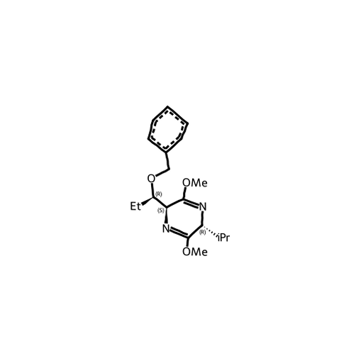 CC[C@@H](OCc1ccccc1)[C@@H]1N=C(OC)[C@@H](C(C)C)N=C1OC